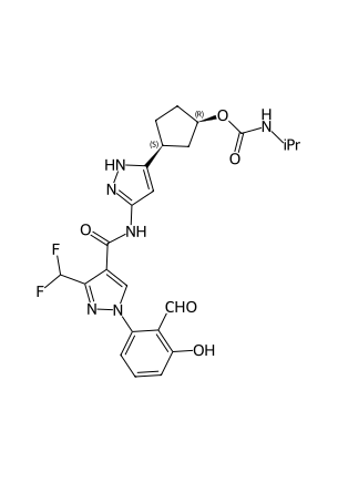 CC(C)NC(=O)O[C@@H]1CC[C@H](c2cc(NC(=O)c3cn(-c4cccc(O)c4C=O)nc3C(F)F)n[nH]2)C1